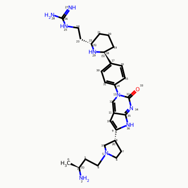 C[C@H](N)CCN1CC[C@@H](c2cc3cn(-c4ccc([C@@H]5CCC[C@@H](CCNC(=N)N)N5)cc4)c(=O)nc3[nH]2)C1